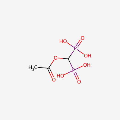 CC(=O)OC(P(=O)(O)O)P(=O)(O)O